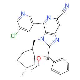 CCO[C@@H](c1ccccc1)c1nc2cc(C#N)nc(-c3cncc(Cl)c3)c2n1C[C@H]1CC[C@H](C)CC1